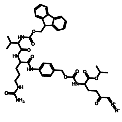 CC(C)OC(=O)C(CCC(=O)C=[N+]=[N-])NC(=O)OCc1ccc(NC(=O)C(CCCNC(N)=O)NC(=O)C(NC(=O)OCC2c3ccccc3-c3ccccc32)C(C)C)cc1